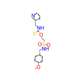 COc1ccc(CNS(=O)(=O)CCOC(=S)NCc2cccnc2)cc1